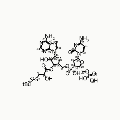 CC(C)(C)SSCC(O)C(=O)O[C@@H]1C(COP(=O)(O)[C@H]2C[C@H](n3ccc(N)nc3=O)O[C@@H]2COP(=O)(O)O)O[C@@H](n2cnc3c(N)ncnc32)[C@@H]1O